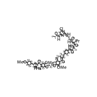 C=CC(=O)Nc1cc(Cl)nc(NCCCC(=O)N[C@H](C(=O)NC(C)C(=O)Nc2ccc(C3=CN4C(=O)c5cc(OC)c(OCCCOc6cc7c(cc6OC)C(=O)N6C=C(c8ccc(OC)cc8)C[C@H]6C=N7)cc5N=CC4C3)cc2)C(C)C)n1